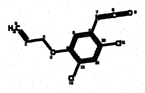 C=CCOc1cc(N=C=O)c(Cl)cc1Cl